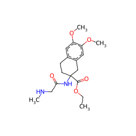 CCOC(=O)C1(NC(=O)CNC)CCc2cc(OC)c(OC)cc2C1